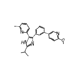 COc1ccc(-c2cccc(-c3nc(C(C)C)[nH]c3-c3cccc(C)n3)c2)cn1